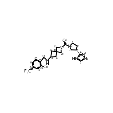 O=C(N1CC[C@H](c2nnc[nH]2)C1)N1CC2(CC(NCc3ccc(C(F)(F)F)cc3F)C2)C1